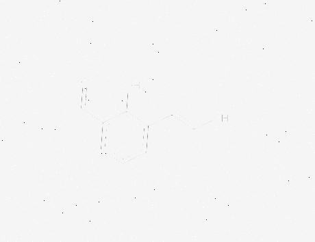 C/C=C/c1cccc(C=O)c1O